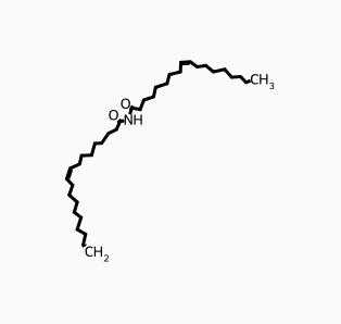 C=CCCCCCCC/C=C\CCCCCCCC(=O)NC(=O)CCCCCCC/C=C\CCCCCCCC